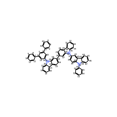 c1ccc(-c2cc(-c3ccccc3)cc(-n3c4ccccc4c4ccc(-c5ccc6c7ccccc7n(-c7ccc8c(c7)c7ccccc7n8-c7ccccc7)c6c5)cc43)c2)cc1